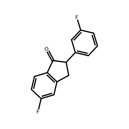 O=C1c2ccc(F)cc2CC1c1cccc(F)c1